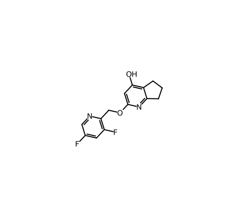 Oc1cc(OCc2ncc(F)cc2F)nc2c1CCC2